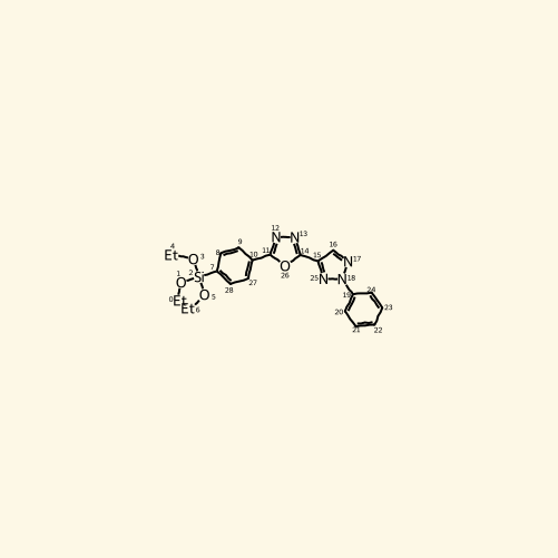 CCO[Si](OCC)(OCC)c1ccc(-c2nnc(-c3cnn(-c4ccccc4)n3)o2)cc1